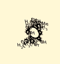 C=CC(=O)N1CC[C@H](C(=O)N(C)C(C(=O)N[C@H]2Cc3cc(O)cc(c3)-c3ccc4c(c3)c(c(-c3nc(N(C)C)n(C)c3[C@H](C)OC)n4CC)CC(C)(C)COC(=O)[C@@H]3CCCN(N3)C2=O)C(C)C)C1